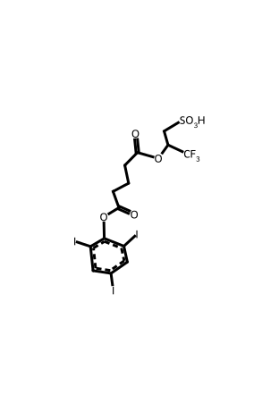 O=C(CCCC(=O)OC(CS(=O)(=O)O)C(F)(F)F)Oc1c(I)cc(I)cc1I